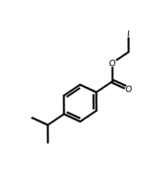 CC(C)c1ccc(C(=O)OCI)cc1